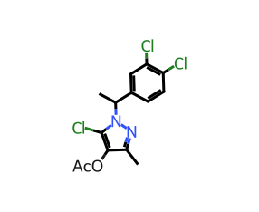 CC(=O)Oc1c(C)nn(C(C)c2ccc(Cl)c(Cl)c2)c1Cl